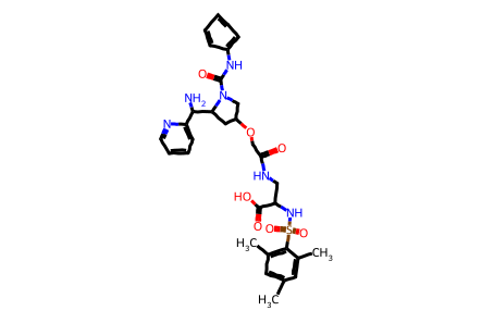 Cc1cc(C)c(S(=O)(=O)NC(CNC(=O)COC2CC(C(N)c3ccccn3)N(C(=O)Nc3ccccc3)C2)C(=O)O)c(C)c1